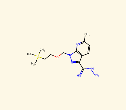 Cc1ccc2c(C(=N)NN)nn(COCCS(C)(C)C)c2n1